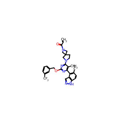 C=CC(=O)N1CC2(CCN(c3nc(OCc4cccc(C(F)(F)F)c4)nc(-c4c(C)ccc5[nH]ncc45)c3C#N)C2)C1